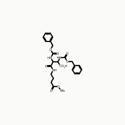 CC(C)(C)OC(=O)CCCNC(=O)C(NC(=O)OCc1ccccc1)C(NC(=O)OCc1ccccc1)C(=O)O